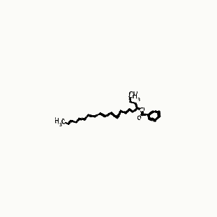 CCCCCCCCCCCCCCCCC(CCC)OC(=O)c1ccccc1